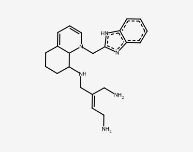 NCC=C(CN)CNC1CCCC2=CC=CN(Cc3nc4ccccc4[nH]3)C21